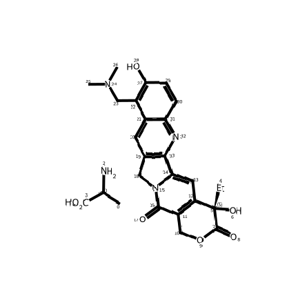 CC(N)C(=O)O.CC[C@@]1(O)C(=O)OCc2c1cc1n(c2=O)Cc2cc3c(CN(C)C)c(O)ccc3nc2-1